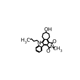 CCCCn1c2ccccc2c2c3c(c4c(c21)CCC(O)CC4)C(=O)N(C)C3=O